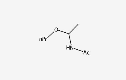 CCCOC(C)NC(C)=O